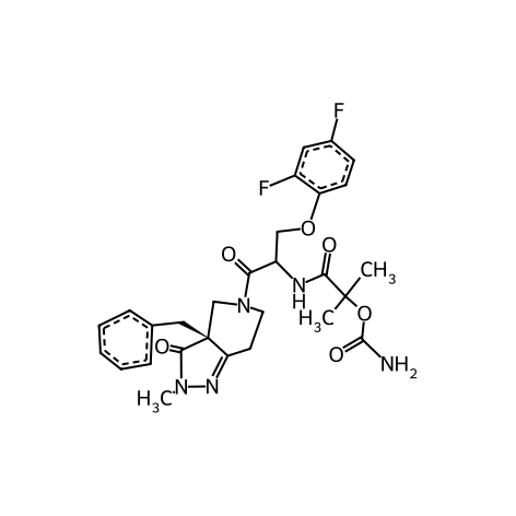 CN1N=C2CCN(C(=O)C(COc3ccc(F)cc3F)NC(=O)C(C)(C)OC(N)=O)C[C@@]2(Cc2ccccc2)C1=O